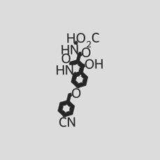 N#Cc1ccc(COc2ccc3c(O)c(C(=O)NCC(=O)O)c(=O)[nH]c3c2)cc1